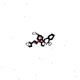 O=C(/C=C/c1ccoc1)C1CCN2C(=O)c3ccccc3CC12c1ccc(Cl)cc1